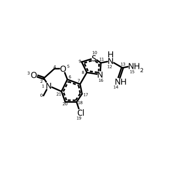 CN1C(=O)COc2c(-c3csc(NC(=N)N)n3)cc(Cl)cc21